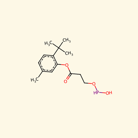 Cc1ccc(C(C)(C)C)c(OC(=O)CCOPO)c1